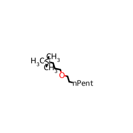 CCCCCCCOCCC[Si](C)(C)C